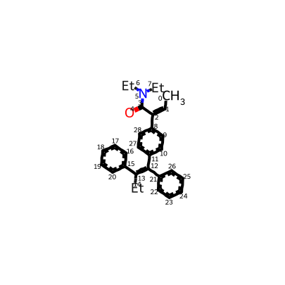 CC=C(C(=O)N(CC)CC)c1ccc(C(=C(CC)c2ccccc2)c2ccccc2)cc1